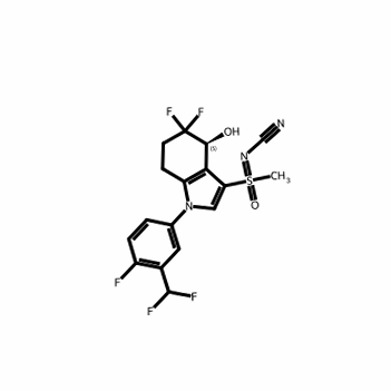 CS(=O)(=NC#N)c1cn(-c2ccc(F)c(C(F)F)c2)c2c1[C@H](O)C(F)(F)CC2